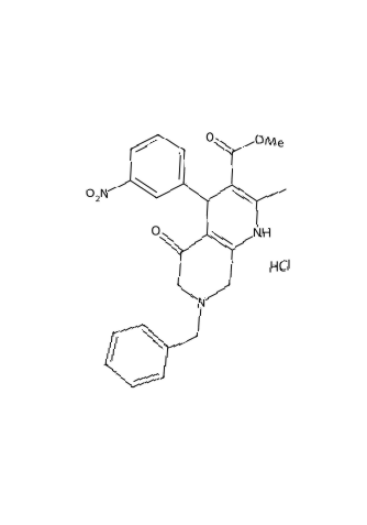 COC(=O)C1=C(C)NC2=C(C(=O)CN(Cc3ccccc3)C2)C1c1cccc([N+](=O)[O-])c1.Cl